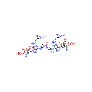 CC(C)n1cnc(CCNc2nc(N[C@@H]3CCN(C(=O)N4CC[C@@H](Nc5nc(NCCc6cn(C(C)C)cn6)nc6c5ncn6[C@@H]5C[C@H](NC(=O)CO)[C@@H](O)[C@H]5O)C4)C3)c3ncn([C@@H]4C[C@H](NC(=O)CO)[C@@H](O)[C@H]4O)c3n2)c1